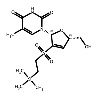 Cc1cn([C@@H]2O[C@H](CO)C=C2S(=O)(=O)CC[Si](C)(C)C)c(=O)[nH]c1=O